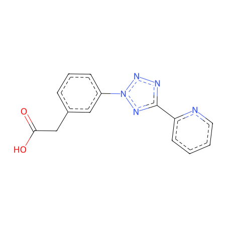 O=C(O)Cc1cccc(-n2nnc(-c3ccccn3)n2)c1